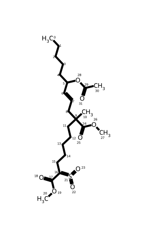 CCCCCC(C=CCC(C)(CCCCCC(C(=O)OC)=S(=O)=O)C(=O)OC)OC(C)=O